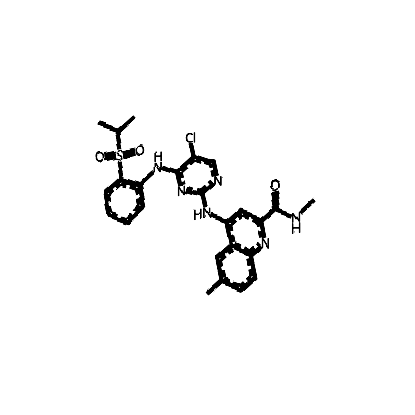 CNC(=O)c1cc(Nc2ncc(Cl)c(Nc3ccccc3S(=O)(=O)C(C)C)n2)c2cc(C)ccc2n1